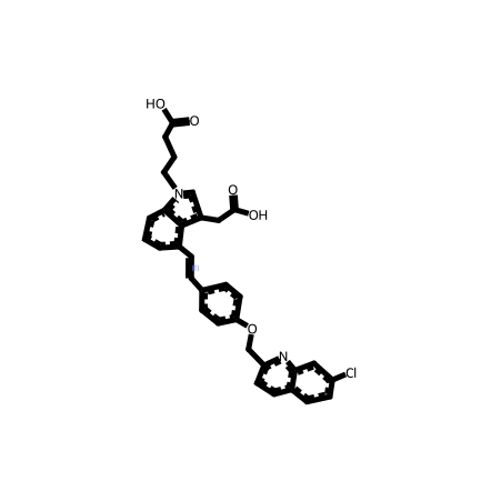 O=C(O)CCCn1cc(CC(=O)O)c2c(/C=C/c3ccc(OCc4ccc5ccc(Cl)cc5n4)cc3)cccc21